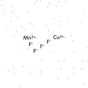 [Cu+2].[F-].[F-].[F-].[F-].[Mn+2]